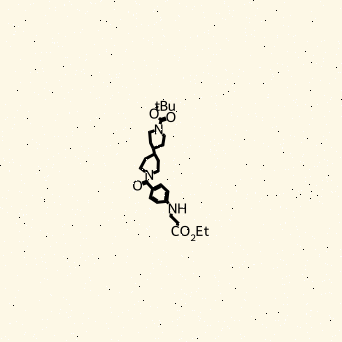 CCOC(=O)CCNc1ccc(C(=O)N2CCC(C3CCN(C(=O)OC(C)(C)C)CC3)CC2)cc1